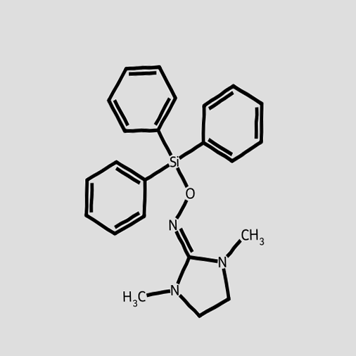 CN1CCN(C)C1=NO[Si](c1ccccc1)(c1ccccc1)c1ccccc1